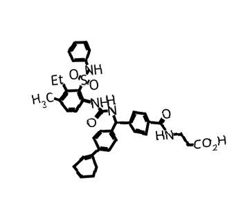 CCc1c(C)ccc(NC(=O)NC(c2ccc(C(=O)NCCC(=O)O)cc2)c2ccc(C3=CCCCC3)cc2)c1S(=O)(=O)Nc1ccccc1